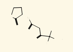 CCCCCCCCC(F)(F)C(=O)CC(=O)N[C@H]1CCOC1=O